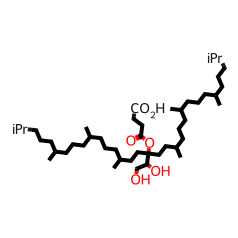 CC(C)CCCC(C)CCCC(C)CCCC(C)CCC(CCC(C)CCCC(C)CCCC(C)CCCC(C)C)(OC(=O)CCC(=O)O)C(O)CO